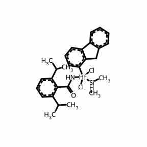 CC(C)c1cccc(C(C)C)c1C(=O)[NH][Hf]([Cl])([Cl])([c]1cccc2c1Cc1ccccc1-2)[SiH](C)C